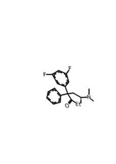 CCC(=O)C(C[C@H](C)N(C)C)(c1ccccc1)c1cc(F)cc(F)c1